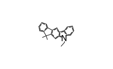 CCn1c2ccccc2c2cc3c(cc21)C(C)(C)c1ccccc1-3